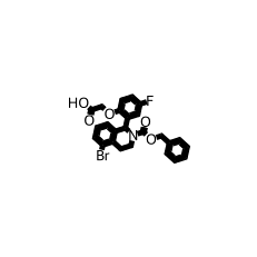 O=C(O)COc1ccc(F)cc1C1c2cccc(Br)c2CCN1C(=O)OCc1ccccc1